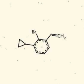 C=Cc1cccc(C2CC2)c1Br